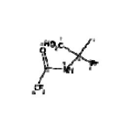 CC(C)C(C)(NC(=O)C(F)(F)F)C(=O)O